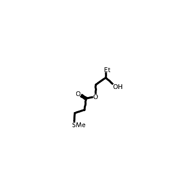 CCC(O)COC(=O)CCSC